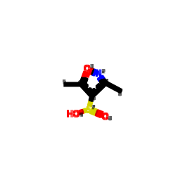 Cc1noc(C)c1S(=O)O